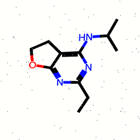 CCc1nc(NC(C)C)c2c(n1)OCC2